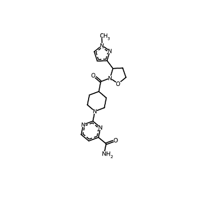 Cn1ccc(C2CCON2C(=O)C2CCN(c3nccc(C(N)=O)n3)CC2)n1